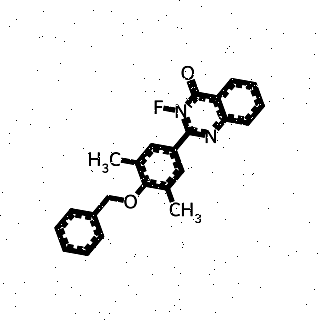 Cc1cc(-c2nc3ccccc3c(=O)n2F)cc(C)c1OCc1ccccc1